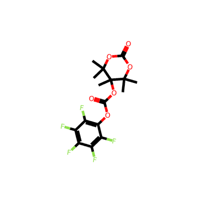 CC1(C)OC(=O)OC(C)(C)C1(C)OC(=O)Oc1c(F)c(F)c(F)c(F)c1F